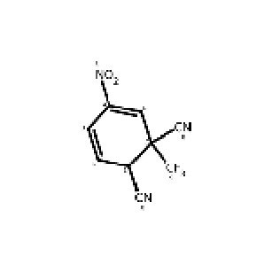 N#CC1C=CC([N+](=O)[O-])=CC1(C#N)C(F)(F)F